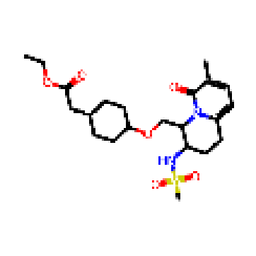 CCOC(=O)CC1CCC(OCC2C(NS(C)(=O)=O)CCc3ccc(C)c(=O)n32)CC1